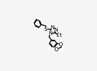 CCc1nnc(SCc2ccccc2)n1Cc1ccc2c(c1)OCO2